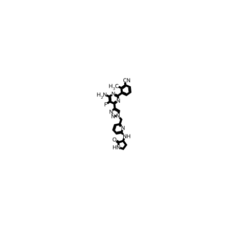 Cc1c(C#N)cccc1-c1nc(N)c(F)c(-c2cn(Cc3cccc(NC4CCNC4=O)n3)nn2)n1